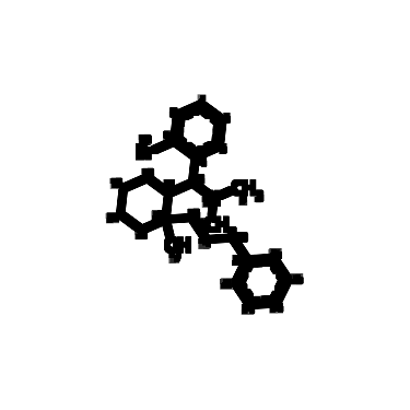 CN(C)C(c1ccccc1Br)C1CCCCC1(O)CCCc1ccccc1